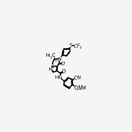 COc1ccc(NC(=O)c2cnn3c2C(=O)N(c2ccc(SC(F)(F)F)cc2)[C@@H](C)C3)cc1C#N